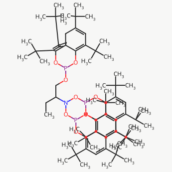 CCC(COP1OC2=C(C(C)(C)C)C=C(C(C)(C)C)CC23C=C(C(C)(C)C)C=C(C(C)(C)C)C3O1)N(OP1OC2=C(C(C)(C)C)C=C(C(C)(C)C)CC23C=C(C(C)(C)C)C=C(C(C)(C)C)C3O1)OP1OC2=C(C(C)(C)C)C=C(C(C)(C)C)CC23C=C(C(C)(C)C)C=C(C(C)(C)C)C3O1